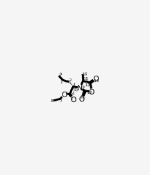 CCC[C@@H](C(=O)OCC)N1C(=O)OC(=O)C1C